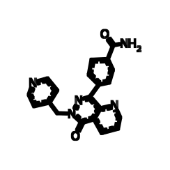 NC(=O)c1ccc(-c2nn(Cc3ccncc3)c(=O)c3cccnc23)cc1